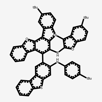 CC(C)(C)c1ccc(Nc2cc3sc4ccccc4c3cc2-c2c3c4c(c5cc(C(C)(C)C)ccc5n4-c4c(oc5ccc(C(C)(C)C)cc45)B3)c3oc4ccccc4c23)cc1